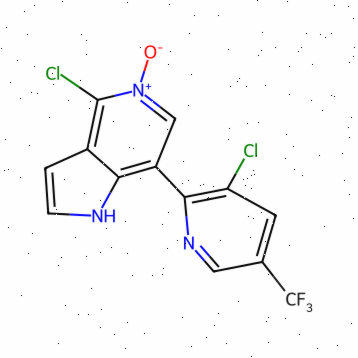 [O-][n+]1cc(-c2ncc(C(F)(F)F)cc2Cl)c2[nH]ccc2c1Cl